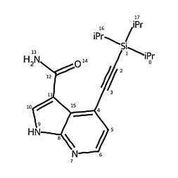 CC(C)[Si](C#Cc1ccnc2[nH]cc(C(N)=O)c12)(C(C)C)C(C)C